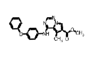 COC(=O)c1cn2ncnc(Nc3ccc(Oc4ccccc4)cc3)c2c1C